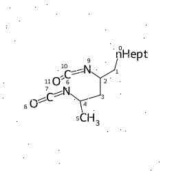 CCCCCCCCC(CC(C)N=C=O)N=C=O